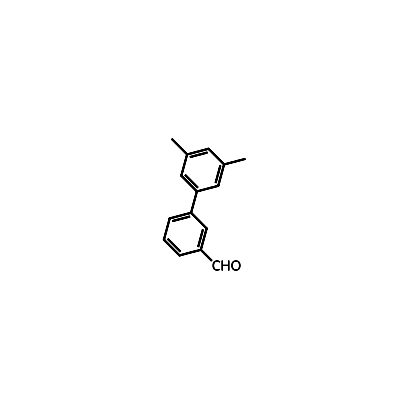 Cc1cc(C)cc(-c2cccc(C=O)c2)c1